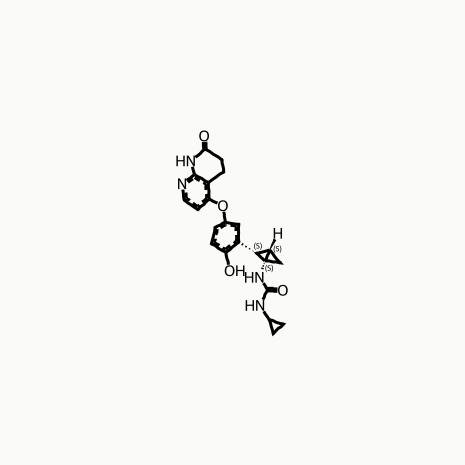 O=C1CCc2c(Oc3ccc(O)c([C@@H]4[C@@H]5C[C@@]45NC(=O)NC4CC4)c3)ccnc2N1